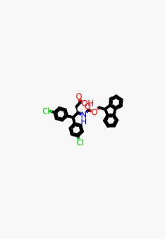 O=C(O)C[C@@H](NC(=O)OCC1c2ccccc2-c2ccccc21)C(c1ccc(Cl)cc1)c1ccc(Cl)cc1